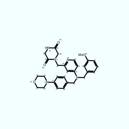 COc1cccc(CN(Cc2ccc(N3CCOCC3)cc2)c2ccnc(CN3CC(=O)NCC3=O)c2)c1